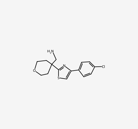 NCC1(c2nc(-c3ccc(Cl)cc3)cs2)CCOCC1